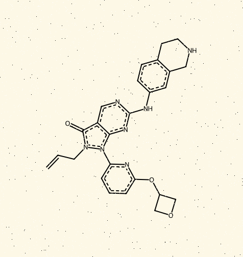 C=CCn1c(=O)c2cnc(Nc3ccc4c(c3)CNCC4)nc2n1-c1cccc(OC2COC2)n1